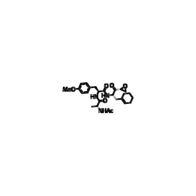 COc1ccc(C[C@H](NC(=O)[C@@H](C)NC(C)=O)C(=O)N[C@@H](CC2=CCCCC2)C(=O)[C@H]2CO2)cc1